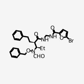 CC[C@H]([C@@H](CCc1ccccc1)C(=O)NCNC(=O)c1ccc(Br)o1)N(C=O)OCc1ccccc1